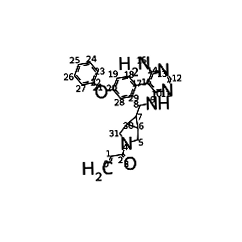 C=CC(=O)N1CC2C(CNc3ncnc(N)c3-c3ccc(Oc4ccccc4)cc3)C2C1